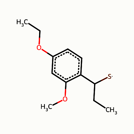 CCOc1ccc(C([S])CC)c(OC)c1